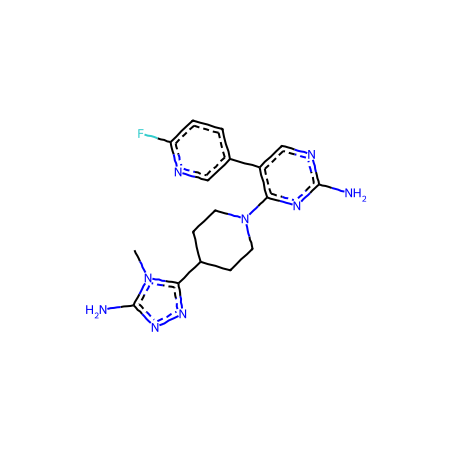 Cn1c(N)nnc1C1CCN(c2nc(N)ncc2-c2ccc(F)nc2)CC1